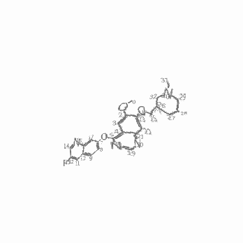 COc1cc2c(Oc3ccc4cc(F)cnc4c3)ncnc2cc1OC[C@@H]1CCCN(C)C1